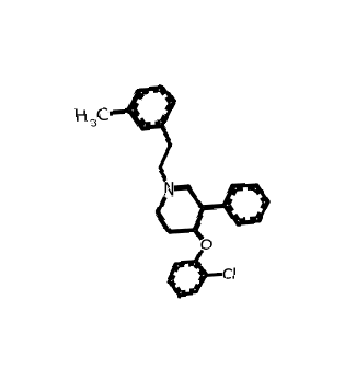 Cc1cccc(CCN2CCC(Oc3ccccc3Cl)C(c3ccccc3)C2)c1